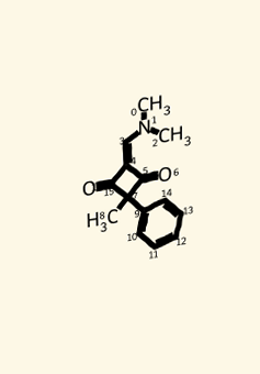 CN(C)C=C1C(=O)C(C)(c2ccccc2)C1=O